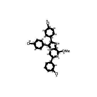 COc1nc(-c2cccc(Cl)c2)cn2c(-c3ccc(Cl)cc3)c(-c3ccc(Cl)cc3)nc12